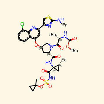 CC[C@@H]1C[C@]1(NC(=O)[C@@H]1C[C@@H](Oc2cc(-c3csc(NC(C)C)n3)nc3c(Cl)cccc23)CN1C(=O)[C@@H](NC(=O)OC(C)(C)C)C(C)(C)C)C(=O)NS(=O)(=O)OC1(C)CC1